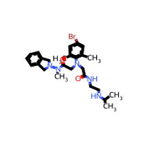 Cc1cc(Br)cc(C)c1N(CC(=O)NCCNC(C)C)CC(=O)N(C)N1Cc2ccccc2C1